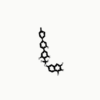 Cc1ccc(-c2ccc(-c3cc(F)c(C(F)(F)Oc4ccc5c(F)c(F)c(F)cc5c4)c(F)c3)c(F)c2)cc1